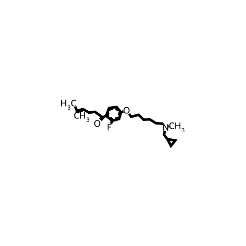 CC(C)=CCCC(=O)c1ccc(OCCCCCCN(C)CC2CC2)cc1F